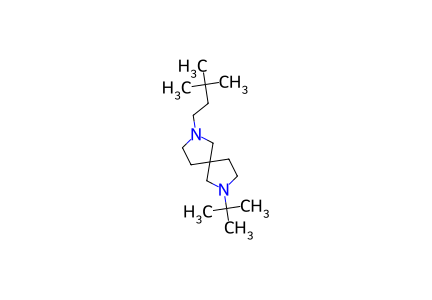 CC(C)(C)CCN1CCC2(CCN(C(C)(C)C)C2)C1